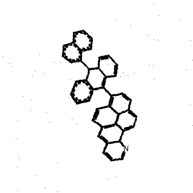 C1=CC2=CC3=C4C(=CC=C5C=CC(C6=C7C=CC=CC7C(c7cccc8ccccc78)c7ccccc76)=C(C=C3)C54)C2N=C1